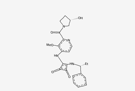 CC[C@@H](Nc1c(Nc2ccnc(C(=O)N3CC[C@H](O)C3)c2OC)c(=O)c1=O)c1ccccc1